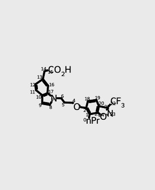 CCCc1c(OCCCn2ccc3ccc(CC(=O)O)cc32)ccc2c(C(F)(F)F)noc12